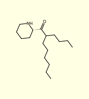 CCCCCCC(CCCC)C(=O)[C@@H]1CCCCN1